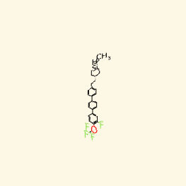 CCC[Si@H]1CC[C@H](CCc2ccc(-c3ccc(-c4ccc(OC(F)(F)F)c(F)c4)cc3)cc2)CC1